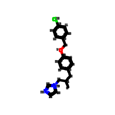 CC(Cc1ccc(OCc2ccc(Cl)cc2)cc1)Cn1ccnc1